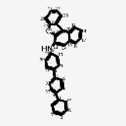 c1ccc(-c2ccc(-c3ccc(Nc4cc5ccccc5c5c4oc4ccccc45)cc3)cc2)cc1